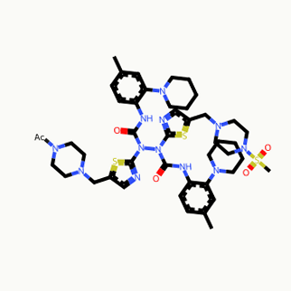 CC(=O)N1CCN(Cc2cnc(N(C(=O)Nc3ccc(C)cc3N3CCCCC3)N(C(=O)Nc3ccc(C)cc3N3CCCCC3)c3ncc(CN4CCN(S(C)(=O)=O)CC4)s3)s2)CC1